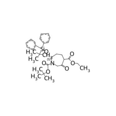 CCOC(=O)C1CC[C@@H](CO[Si](c2ccccc2)(c2ccccc2)C(C)(C)C)N(C(=O)OC(C)(C)C)CC1=O